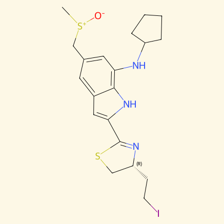 C[S+]([O-])Cc1cc(NC2CCCC2)c2[nH]c(C3=N[C@H](CCI)CS3)cc2c1